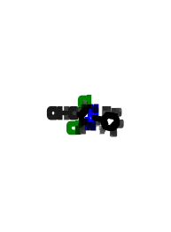 O=Cc1c(Cl)nc(-c2ccccc2)nc1Cl